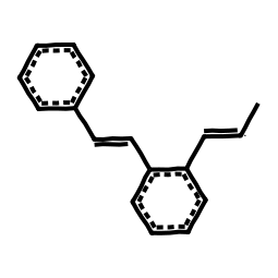 C[C]=Cc1ccccc1C=Cc1ccccc1